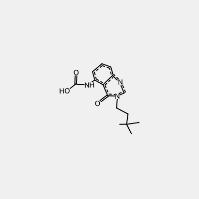 CC(C)(C)CCn1cnc2cccc(NC(=O)O)c2c1=O